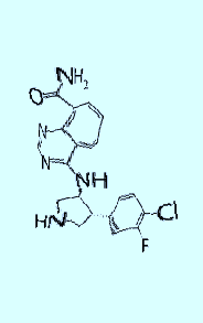 NC(=O)c1cccc2c(N[C@@H]3CNC[C@H]3c3ccc(Cl)c(F)c3)ncnc12